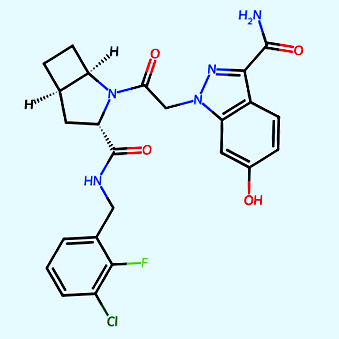 NC(=O)c1nn(CC(=O)N2[C@@H]3CC[C@@H]3C[C@H]2C(=O)NCc2cccc(Cl)c2F)c2cc(O)ccc12